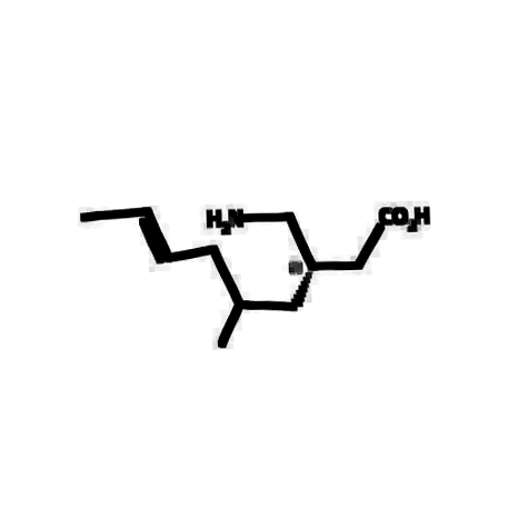 CC=CCC(C)C[C@H](CN)CC(=O)O